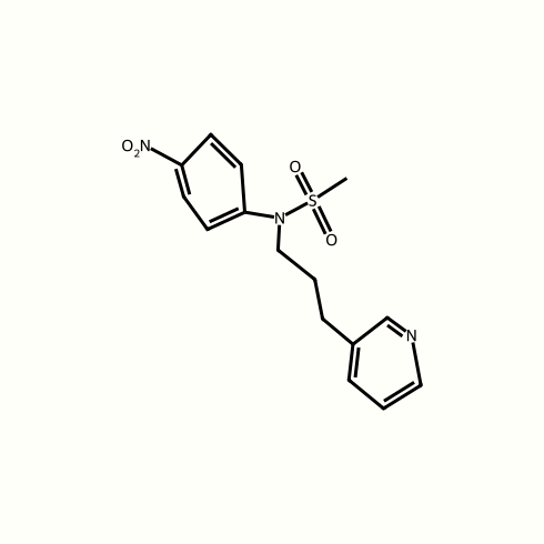 CS(=O)(=O)N(CCCc1cccnc1)c1ccc([N+](=O)[O-])cc1